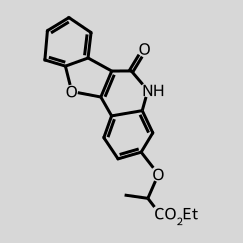 CCOC(=O)C(C)Oc1ccc2c(c1)[nH]c(=O)c1c3ccccc3oc21